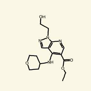 CCOC(=O)c1cnc2c(cnn2CCO)c1NC1CCOCC1